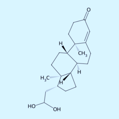 C[C@]12CC[C@H]3[C@@H](CCC4=CC(=O)CC[C@@]43C)[C@@H]1CC[C@@H]2CC(O)O